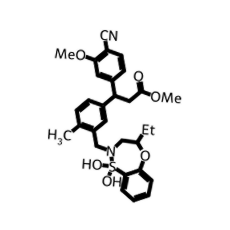 CCC1CN(Cc2cc(C(CC(=O)OC)c3ccc(C#N)c(OC)c3)ccc2C)S(O)(O)c2ccccc2O1